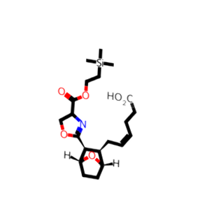 C[Si](C)(C)CCOC(=O)C1COC([C@H]2[C@@H](C/C=C\CCC(=O)O)[C@@H]3CC[C@H]2O3)=N1